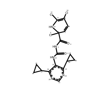 O=C(NC(=O)C1(Cl)C=CC(Cl)=C(Cl)N1)Nc1c(C2CC2)ncnc1C1CC1